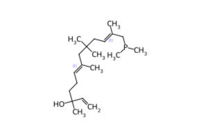 C=CC(C)(O)CC/C=C(\C)CC(C)(C)C/C=C(\C)CP(C)C